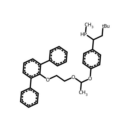 CPC(CC(C)(C)C)c1ccc(OC(C)OCCOc2c(-c3ccccc3)cccc2-c2ccccc2)cc1